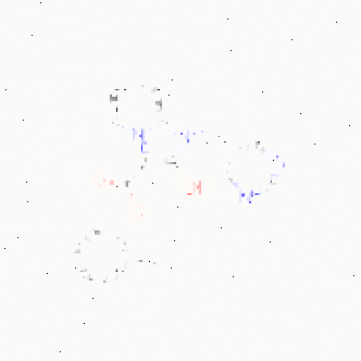 Cc1ccccc1OC(=O)c1c(O)n(Cc2cncnc2)c2cccc[n+]12